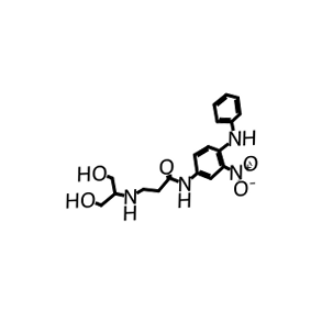 O=C(CCNC(CO)CO)Nc1ccc(Nc2ccccc2)c([N+](=O)[O-])c1